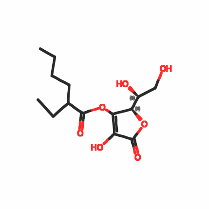 CCCCC(CC)C(=O)OC1=C(O)C(=O)O[C@@H]1[C@@H](O)CO